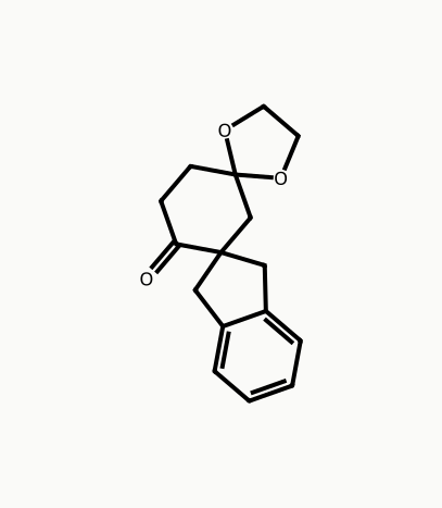 O=C1CCC2(CC13Cc1ccccc1C3)OCCO2